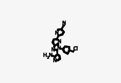 N#Cc1ccc(-c2ccc3nc(-c4cccnc4N)n(-c4ccc(CCl)cc4)c3n2)nc1